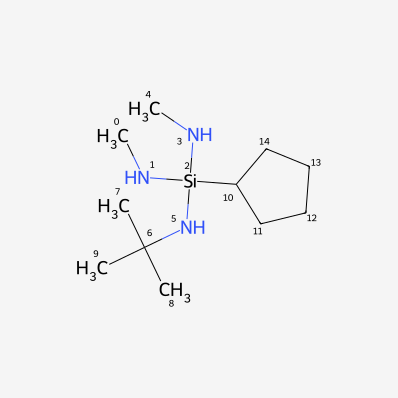 CN[Si](NC)(NC(C)(C)C)C1CCCC1